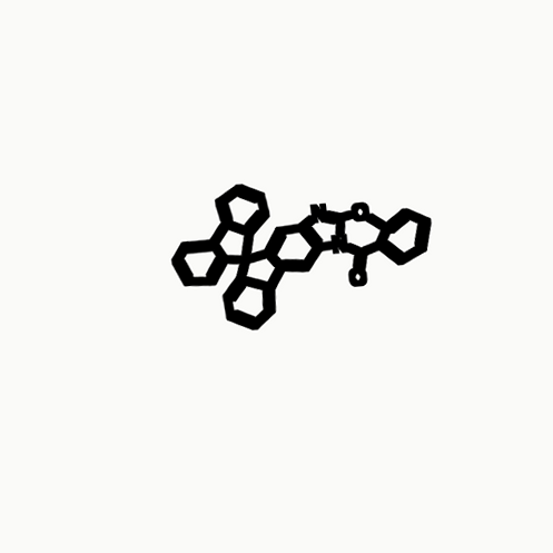 O=c1c2ccccc2oc2nc3cc4c(cc3n12)-c1ccccc1C41c2ccccc2-c2ccccc21